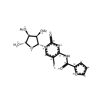 CC(=O)O[C@@H]1[C@H](OC(C)=O)[C@@H](C)O[C@H]1n1cc(F)c(NC(=O)c2ccco2)nc1=O